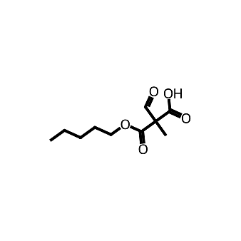 CCCCCOC(=O)C(C)(C=O)C(=O)O